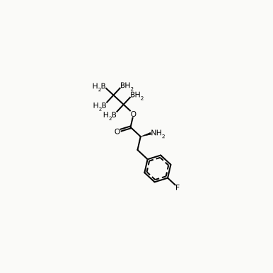 BC(B)(B)C(B)(B)OC(=O)[C@@H](N)Cc1ccc(F)cc1